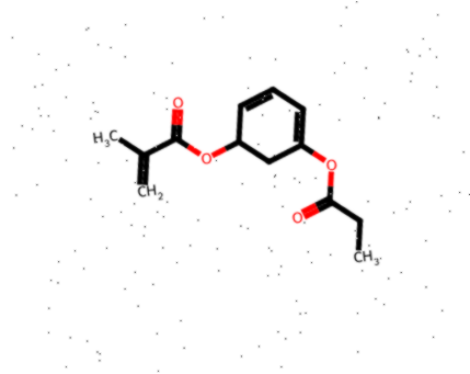 C=C(C)C(=O)OC1C=CC=C(OC(=O)CC)C1